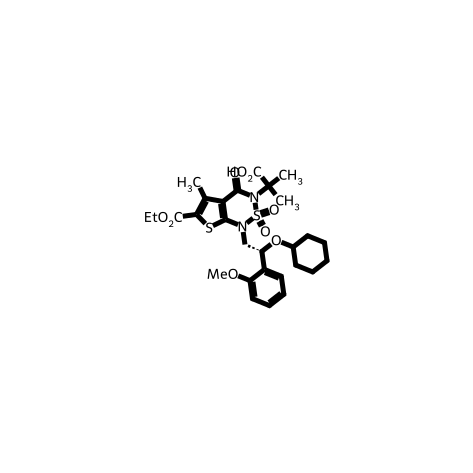 CCOC(=O)c1sc2c(c1C)C(=O)N(C(C)(C)C(=O)O)S(=O)(=O)N2C[C@H](OC1CCCCC1)c1ccccc1OC